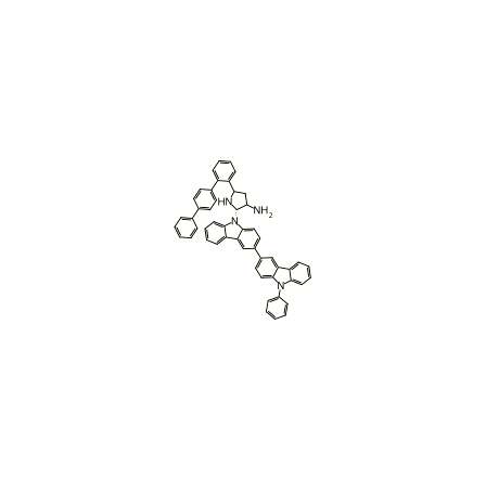 NC1CC(c2ccccc2-c2ccc(-c3ccccc3)cc2)N[C@H]1n1c2ccccc2c2cc(-c3ccc4c(c3)c3ccccc3n4-c3ccccc3)ccc21